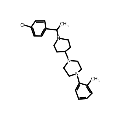 Cc1ccccc1N1CCN(C2CCN(C(C)c3ccc(Cl)cc3)CC2)CC1